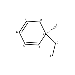 [CH2][C@]1(CC)C=CC=CC1